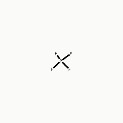 F[P](F)(F)F